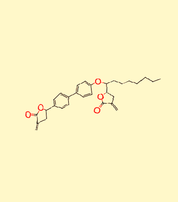 C=C1CC(c2ccc(-c3ccc(OC(CCCCCCC)C4CC(=C)C(=O)O4)cc3)cc2)OC1=O